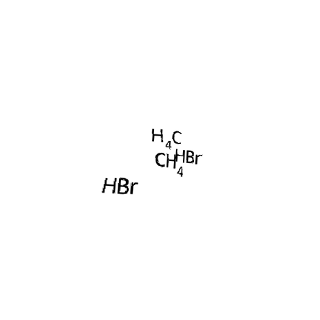 Br.Br.C.C